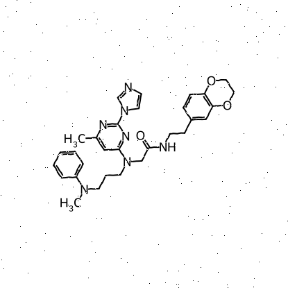 Cc1cc(N(CCCN(C)c2ccccc2)CC(=O)NCCc2ccc3c(c2)OCCO3)nc(-n2ccnc2)n1